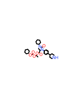 CC(OC(=O)OC1CCCCC1)OC(=O)C1CN(C2CCCCC2)C(=O)N1c1ccc(C2CCNCC2)cc1